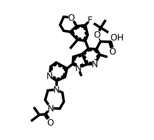 Cc1nc2c(cc(-c3ccnc(N4CCCN(C(=O)C(C)C)CC4)c3)n2C)c(-c2cc(F)c3c(c2C)CCCO3)c1[C@H](OC(C)(C)C)C(=O)O